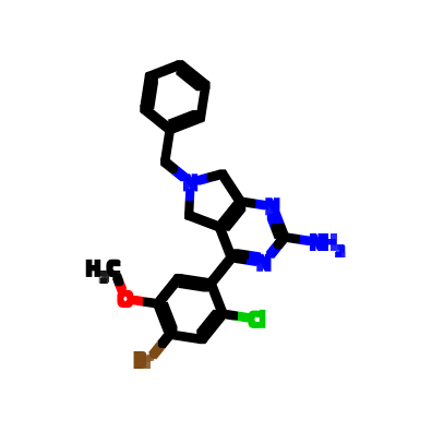 COc1cc(-c2nc(N)nc3c2CN(Cc2ccccc2)C3)c(Cl)cc1Br